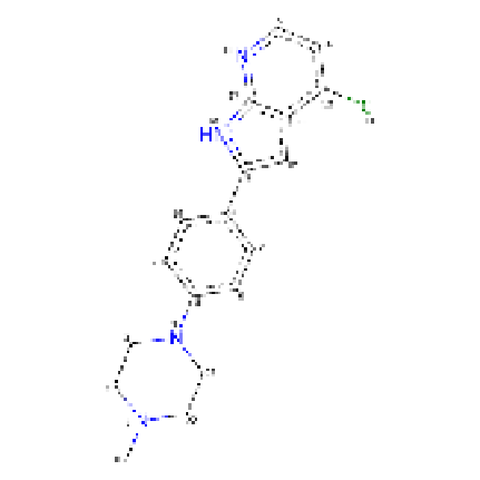 CN1CCN(c2ccc(-c3cc4c(Cl)ccnc4[nH]3)cc2)CC1